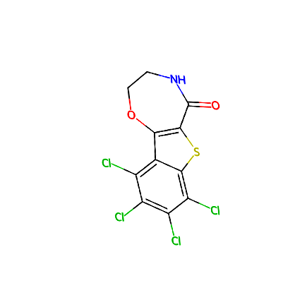 O=C1NCCOc2c1sc1c(Cl)c(Cl)c(Cl)c(Cl)c21